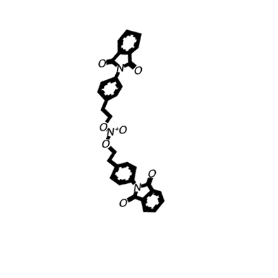 O=C1c2ccccc2C(=O)N1c1ccc(CCO[N+](=O)OCCc2ccc(N3C(=O)c4ccccc4C3=O)cc2)cc1